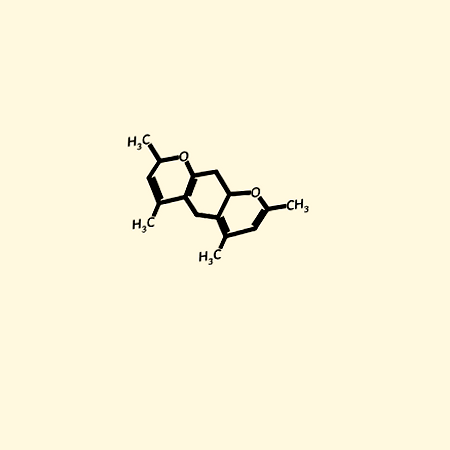 CC1=CC(C)=C2CC3=C(CC2O1)OC(C)C=C3C